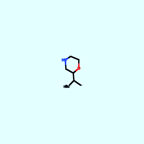 [CH2]C(CCCC)C1CNCCO1